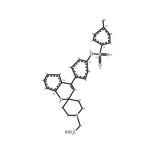 CCOC(=O)CN1CCC2(C=C(c3ccc(OS(=O)(=O)c4ccc(C)cc4)cc3)c3ccccc3O2)CC1